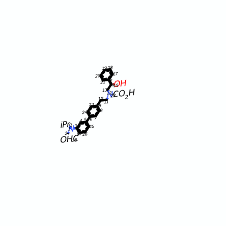 CC(C)N(C)c1cc(-c2ccc(CCN(C[C@H](O)c3ccccc3)C(=O)O)cc2)ccc1C=O